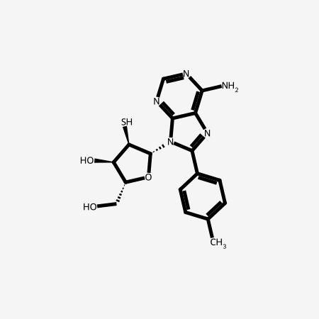 Cc1ccc(-c2nc3c(N)ncnc3n2[C@@H]2O[C@H](CO)[C@@H](O)[C@H]2S)cc1